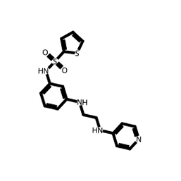 O=S(=O)(Nc1cccc(NCCNc2ccncc2)c1)c1cccs1